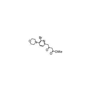 COC(=O)CC(=O)Cc1ccc(N2CCOCC2)c(Br)n1